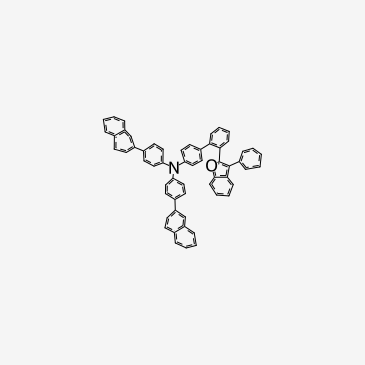 c1ccc(-c2c(-c3ccccc3-c3ccc(N(c4ccc(-c5ccc6ccccc6c5)cc4)c4ccc(-c5ccc6ccccc6c5)cc4)cc3)oc3ccccc23)cc1